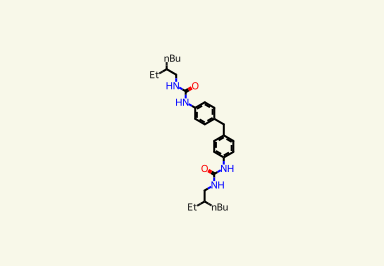 CCCCC(CC)CNC(=O)Nc1ccc(Cc2ccc(NC(=O)NCC(CC)CCCC)cc2)cc1